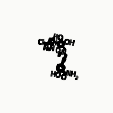 CC(=O)N(CC#Cc1ccc(O)c(C(N)=O)c1)C[C@H]1C[C@@H](n2ccc3c(Cl)ncnc32)[C@H](O)[C@@H]1O